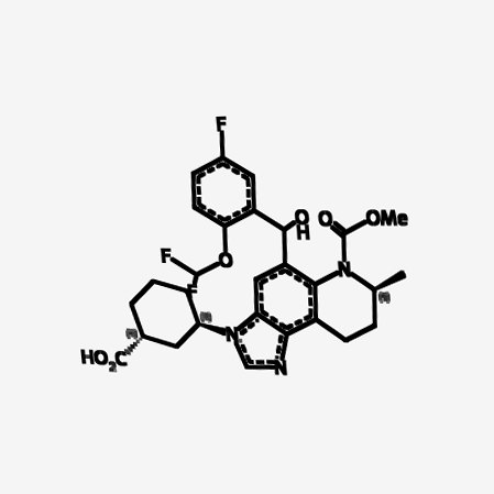 COC(=O)N1c2c(C(O)c3cc(F)ccc3OC(F)F)cc3c(ncn3[C@@H]3CCC[C@@H](C(=O)O)C3)c2CC[C@@H]1C